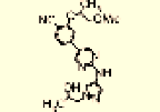 COCC(C)Oc1cc(-c2cnc(Nc3cnn(CC(C)O)c3)nc2)ccc1C#N